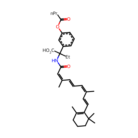 CCCC(=O)Oc1cccc(C(CC)(NC(=O)C=C(C)C=CC=C(C)C=CC2=C(C)CCCC2(C)C)C(=O)O)c1